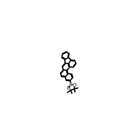 CC1(C)OB(c2ccc3c(ccc4cc5c6c(cccc6c43)-c3ccccc3-5)c2)OC1(C)C